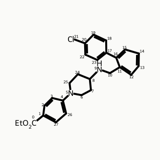 CCOC(=O)c1ccc(N2CCC(NCc3ccccc3-c3ccc(Cl)cc3)CC2)cc1